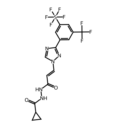 O=C(C=Cn1cnc(-c2cc(C(F)(F)F)cc(S(F)(F)(F)(F)F)c2)n1)NNC(=O)C1CC1